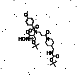 COc1ccc(S(=O)(=O)N(CCC(=O)N2CCC(CNC(=O)OC(C)(C)C)CC2)C(COC(C)(C)C)C(=O)NO)cc1